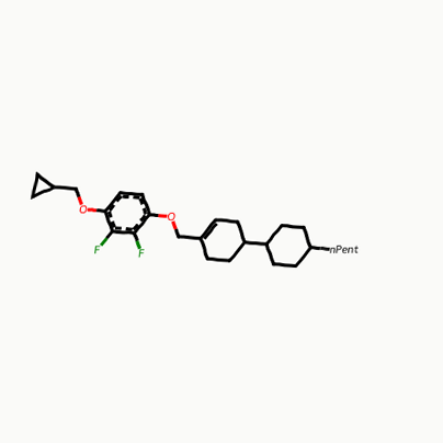 CCCCCC1CCC(C2CC=C(COc3ccc(OCC4CC4)c(F)c3F)CC2)CC1